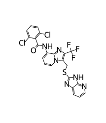 O=C(Nc1cccn2c(CSc3nc4cccnc4[nH]3)c(C(F)(F)F)nc12)c1c(Cl)cccc1Cl